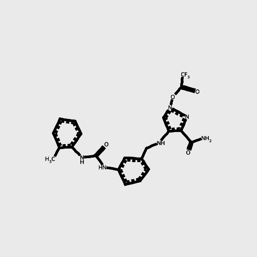 Cc1ccccc1NC(=O)Nc1cccc(CNc2cn(OC(=O)C(F)(F)F)nc2C(N)=O)c1